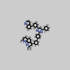 CCc1cc(-c2cccc(-c3ccc(-c4nc(-c5ccccc5)cc(-c5cccc(-c6cccc7ncccc67)c5)n4)cc3)c2)c2ccc3ccc(C)nc3c2n1